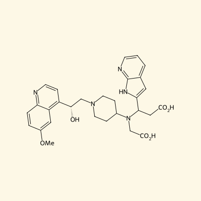 COc1ccc2nccc([C@@H](O)CN3CCC(N(CC(=O)O)C(CC(=O)O)c4cc5cccnc5[nH]4)CC3)c2c1